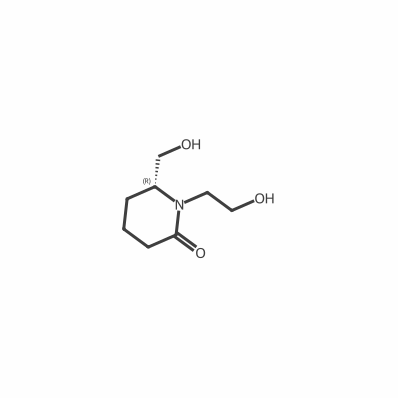 O=C1CCC[C@H](CO)N1CCO